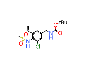 C=Cc1cc(CNC(=O)OC(C)(C)C)cc(Cl)c1NS(C)(=O)=O